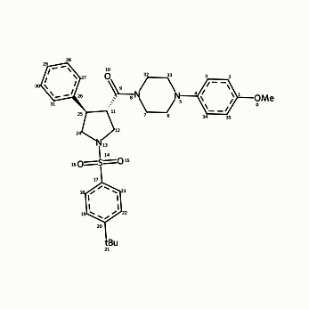 COc1ccc(N2CCN(C(=O)[C@@H]3CN(S(=O)(=O)c4ccc(C(C)(C)C)cc4)C[C@H]3c3ccccc3)CC2)cc1